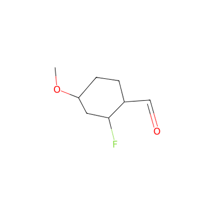 COC1CCC(C=O)C(F)C1